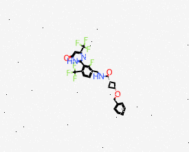 O=c1cc(C(F)(F)F)nc(-c2c(C(F)(F)F)ccc(CNC(=O)[C@H]3C[C@@H](OCc4ccccc4)C3)c2F)[nH]1